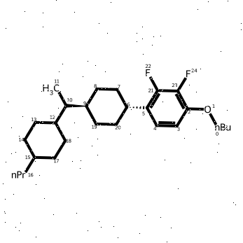 CCCCOc1ccc([C@H]2CC[C@H](C(C)C3CCC(CCC)CC3)CC2)c(F)c1F